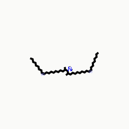 CCCCCCCC/C=C\CCCCCCCCC(C)C(C(C)CCCCCCCC/C=C\CCCCCCCC)N(C)C